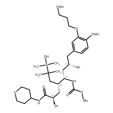 COCCCOc1cc(C[C@@H](C[C@H](NC(=O)OC(C)(C)C)[C@H](C[C@H](C(=O)NC2CCOCC2)C(C)C)CC(C)(C)[Si](C)(C)O)C(C)C)ccc1OC